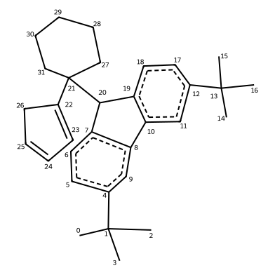 CC(C)(C)c1ccc2c(c1)-c1cc(C(C)(C)C)ccc1C2C1(C2=CC=CC2)CCCCC1